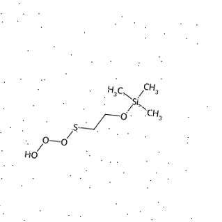 C[Si](C)(C)OCCSOOO